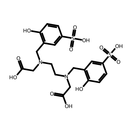 O=C(O)CN(CCN(CC(=O)O)Cc1cc(S(=O)(=O)O)ccc1O)Cc1cc(S(=O)(=O)O)ccc1O